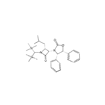 CC(C)C[C@@H]1[C@H](N2C(=O)O[C@H](c3ccccc3)[C@@H]2c2ccccc2)C(=O)N1C([Si](C)(C)C)[Si](C)(C)C